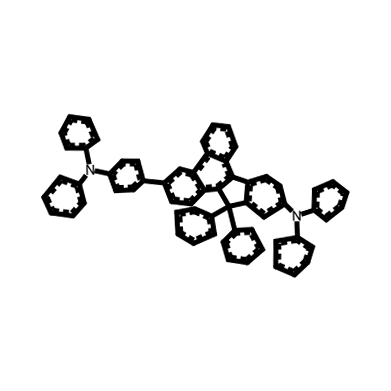 c1ccc(N(c2ccccc2)c2ccc(-c3ccc4c5c(c6ccccc6c4c3)-c3ccc(N(c4ccccc4)c4ccccc4)cc3C5(c3ccccc3)c3ccccc3)cc2)cc1